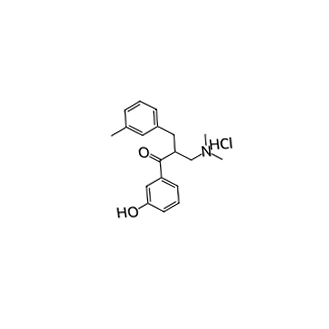 Cc1cccc(CC(CN(C)C)C(=O)c2cccc(O)c2)c1.Cl